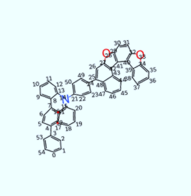 c1ccc(-c2ccc(-c3ccccc3N(c3ccccc3)c3ccc(-c4cc5oc6ccc7oc8ccccc8c7c6c5c5ccccc45)cc3)cc2)cc1